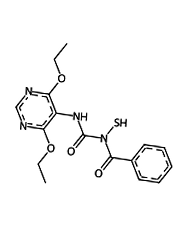 CCOc1ncnc(OCC)c1NC(=O)N(S)C(=O)c1ccccc1